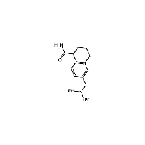 CC(C)N(Cc1ccc2c(c1)CC[C]C2C(N)=O)C(C)C